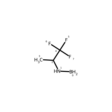 BNC(C)C(F)(F)F